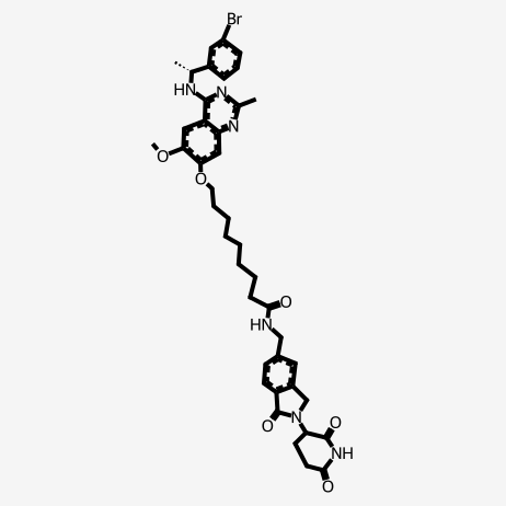 COc1cc2c(N[C@H](C)c3cccc(Br)c3)nc(C)nc2cc1OCCCCCCCCC(=O)NCc1ccc2c(c1)CN(C1CCC(=O)NC1=O)C2=O